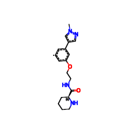 Cn1cc(-c2c[c]cc(OCCNC(=O)[C@@H]3CCCCN3)c2)cn1